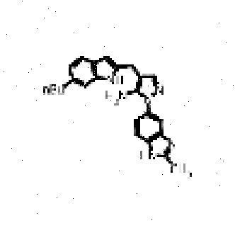 CCCCc1ccc2cc(Cc3cnn(-c4ccc5[nH]c(C)nc5c4)c3N)[nH]c2c1